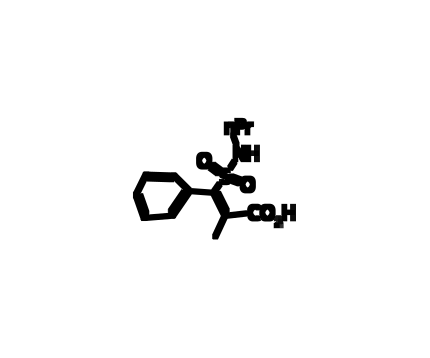 CCCNS(=O)(=O)C(=C(C)C(=O)O)c1ccccc1